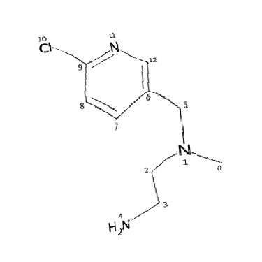 CN(CCN)Cc1ccc(Cl)nc1